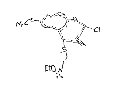 CCOC(=O)CSc1nc(Cl)nc2ccc(C)cc12